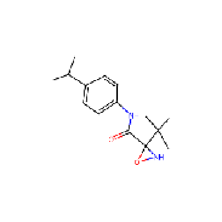 CC(C)c1ccc(NC(=O)C2(C(C)(C)C)NO2)cc1